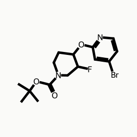 CC(C)(C)OC(=O)N1CCC(Oc2cc(Br)ccn2)C(F)C1